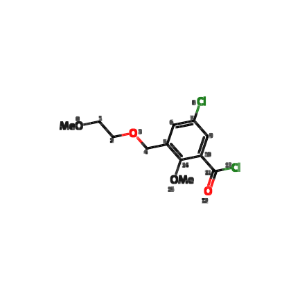 COCCOCc1cc(Cl)cc(C(=O)Cl)c1OC